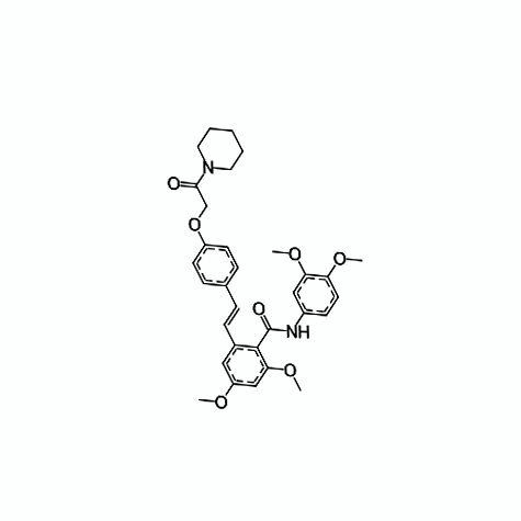 COc1cc(C=Cc2ccc(OCC(=O)N3CCCCC3)cc2)c(C(=O)Nc2ccc(OC)c(OC)c2)c(OC)c1